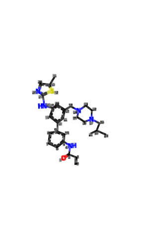 C=CC(=O)Nc1cccc(-c2cc(CN3CCN(CC(C)C)CC3)cc(Nc3ncc(C)s3)c2)c1